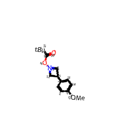 COc1ccc(C2CN(OC(=O)C(C)(C)C)C2)cc1